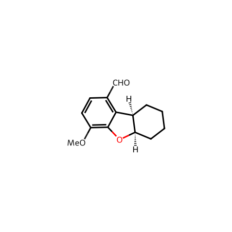 COc1ccc(C=O)c2c1O[C@@H]1CCCC[C@H]21